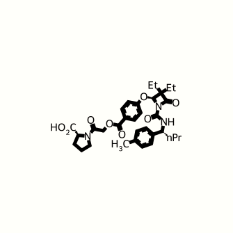 CCC[C@@H](NC(=O)N1C(=O)C(CC)(CC)[C@@H]1Oc1ccc(C(=O)OCC(=O)N2CCC[C@H]2C(=O)O)cc1)c1ccc(C)cc1